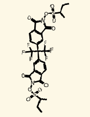 CCC(C)S(=O)(=O)ON1C(=O)c2ccc(C(c3ccc4c(c3)C(=O)N(OS(=O)(=O)C(C)CC)C4=O)(C(F)(F)F)C(F)(F)F)cc2C1=O